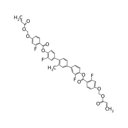 C=CC(=O)OCOc1ccc(C(=O)Oc2ccc(-c3ccc(-c4ccc(OC(=O)c5ccc(OCOC(=O)C=C)cc5F)c(F)c4)c(C)c3)cc2F)c(F)c1